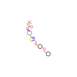 CC(C)(C)OC(=O)ON1CCC(c2nc(COc3ccc(OCc4ccccc4)cc3)cs2)CC1